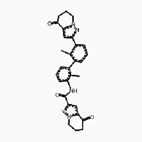 Cc1c(NC(=O)c2cc3n(n2)CCCC3=O)cccc1-c1cccc(-c2cc3n(n2)CCCC3=O)c1C